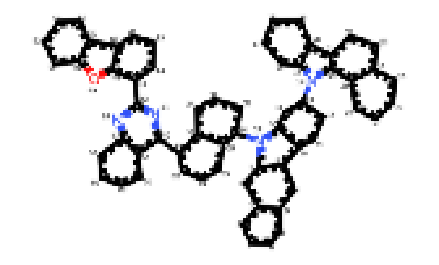 c1ccc2cc3c(cc2c1)c1ccc(-n2c4ccccc4c4ccc5ccccc5c42)cc1n3-c1cccc2c(-c3nc(-c4cccc5c4oc4ccccc45)nc4ccccc34)cccc12